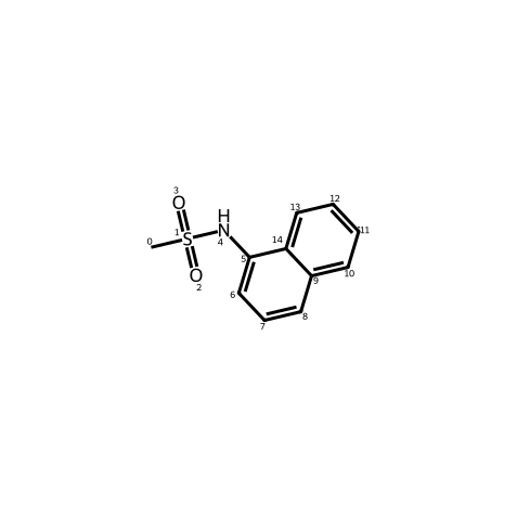 CS(=O)(=O)Nc1cccc2c[c]ccc12